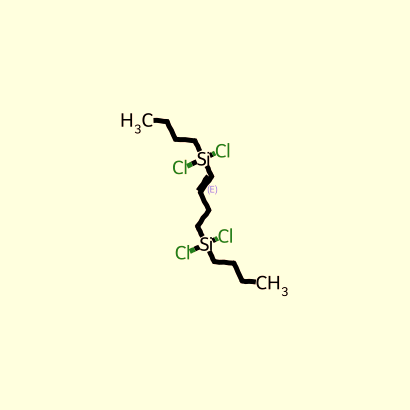 CCCC[Si](Cl)(Cl)/C=C/CC[Si](Cl)(Cl)CCCC